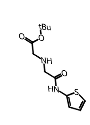 CC(C)(C)OC(=O)CNCC(=O)Nc1cccs1